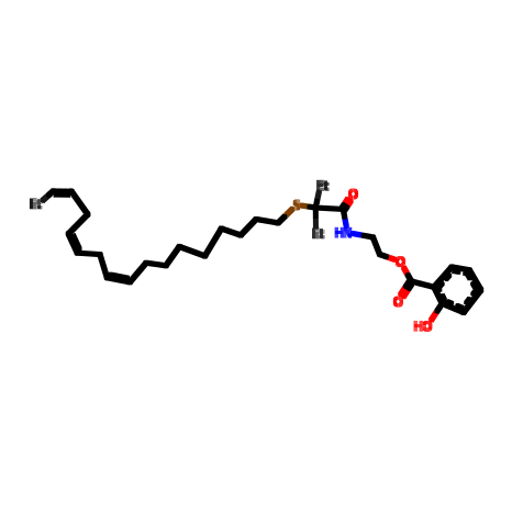 CC/C=C\C/C=C\C/C=C\CCCCCCCCSC(CC)(CC)C(=O)NCCOC(=O)c1ccccc1O